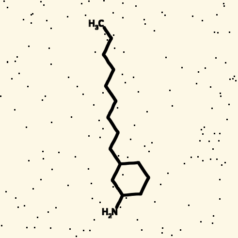 CCCCCCCCCC1CCCC(N)C1